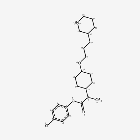 CN(C(=O)Oc1ccc(Cl)cc1)C1CCC(OCCCC2CCCNC2)CC1